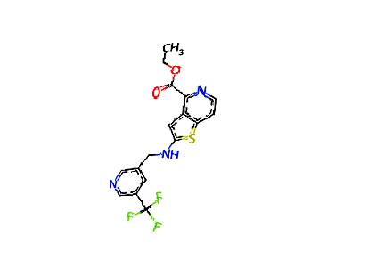 CCOC(=O)c1nccc2sc(NCc3cncc(C(F)(F)F)c3)cc12